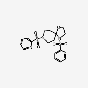 O=S(=O)(c1ccccn1)N1CCC2(CC1)OCCN2S(=O)(=O)c1ccccn1